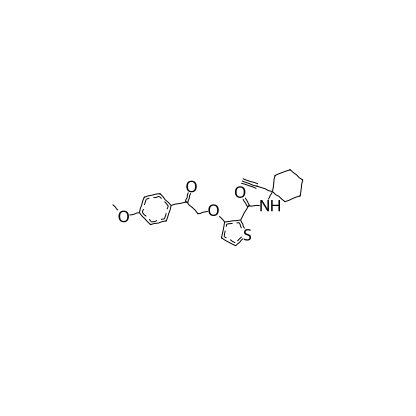 C#CC1(NC(=O)c2sccc2OCC(=O)c2ccc(OC)cc2)CCCCC1